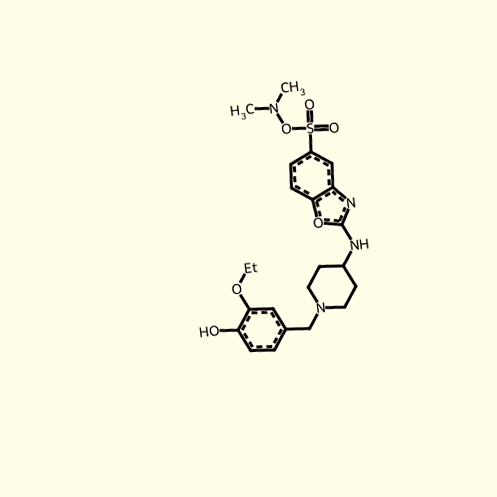 CCOc1cc(CN2CCC(Nc3nc4cc(S(=O)(=O)ON(C)C)ccc4o3)CC2)ccc1O